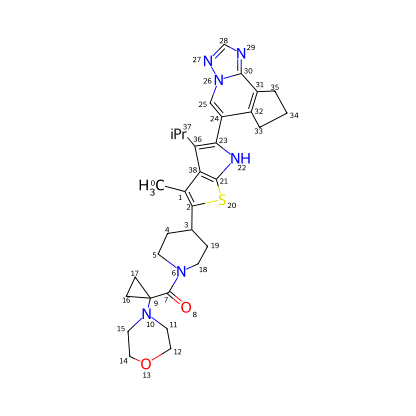 Cc1c(C2CCN(C(=O)C3(N4CCOCC4)CC3)CC2)sc2[nH]c(-c3cn4ncnc4c4c3CCC4)c(C(C)C)c12